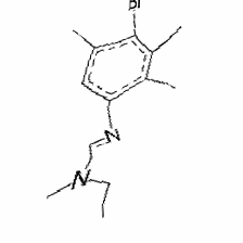 CCN(C)/C=N/c1cc(C)c(Br)c(C)c1C